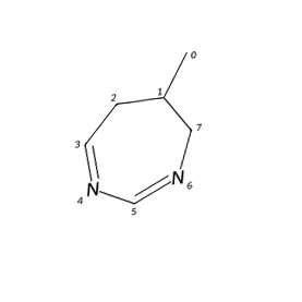 CC1CC=NC=NC1